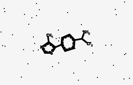 Cc1ncsc1-c1ccc(C(N)C(F)(F)F)cc1